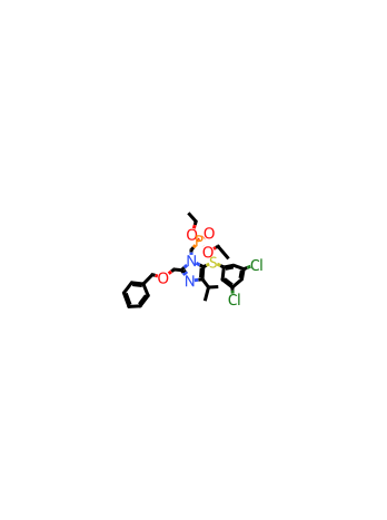 CCOP(=O)(Cn1c(COCc2ccccc2)nc(C(C)C)c1Sc1cc(Cl)cc(Cl)c1)OCC